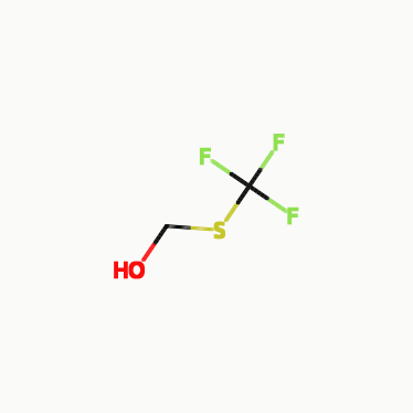 OCSC(F)(F)F